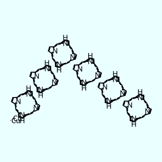 C1=Cc2cc3ccc(cc4nc(cc5ccc(cc1n2)[nH]5)C=C4)[nH]3.C1=Cc2cc3ccc(cc4nc(cc5ccc(cc1n2)[nH]5)C=C4)[nH]3.C1=Cc2cc3ccc(cc4nc(cc5ccc(cc1n2)[nH]5)C=C4)[nH]3.C1=Cc2cc3ccc(cc4nc(cc5ccc(cc1n2)[nH]5)C=C4)[nH]3.C1=Cc2cc3ccc(cc4nc(cc5ccc(cc1n2)[nH]5)C=C4)[nH]3.C1=Cc2cc3ccc(cc4nc(cc5ccc(cc1n2)[nH]5)C=C4)[nH]3.[Cu].[Cu]